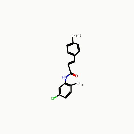 CCCCCc1ccc(/C=C/C(=O)Nc2cc(Cl)ccc2C)cc1